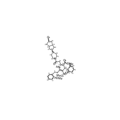 COC(=O)C1=C(CCc2ccccc2OC)NC(CC(=O)N2CCN(C3CC4CC(=O)CC4C3)CC2)=C(C(=O)OC)C1c1c(Cl)cccc1Cl